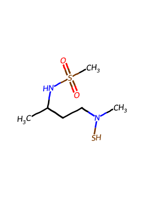 CC(CCN(C)S)NS(C)(=O)=O